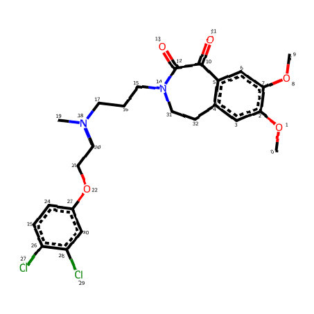 COc1cc2c(cc1OC)C(=O)C(=O)N(CCCN(C)CCOc1ccc(Cl)c(Cl)c1)CC2